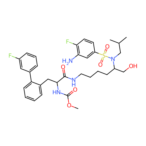 COC(=O)NC(Cc1ccccc1-c1cccc(F)c1)C(=O)NCCCCC(CO)N(CC(C)C)S(=O)(=O)c1ccc(F)c(N)c1